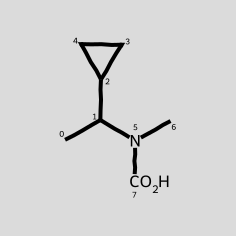 CC(C1CC1)N(C)C(=O)O